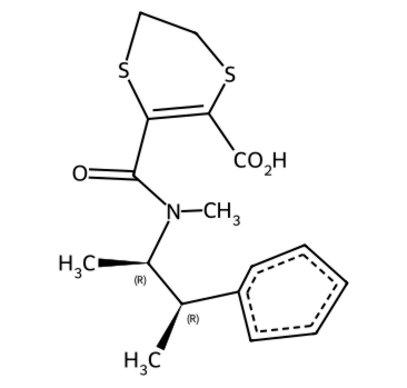 C[C@H](c1ccccc1)[C@@H](C)N(C)C(=O)C1=C(C(=O)O)SCCS1